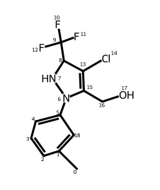 Cc1cccc(N2NC(C(F)(F)F)C(Cl)=C2CO)c1